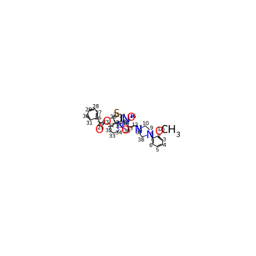 COc1ccccc1N1CCN(CCC2[N+](=O)C3=CC4(CS3)C(OC(=O)c3ccccc3)CCC[N+]24[O-])CC1